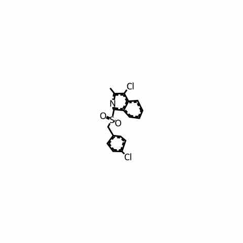 Cc1nc(S(=O)(=O)Cc2ccc(Cl)cc2)c2ccccc2c1Cl